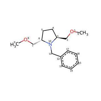 COC[C@@H]1CC[C@@H](COC)N1Cc1cc[c]cc1